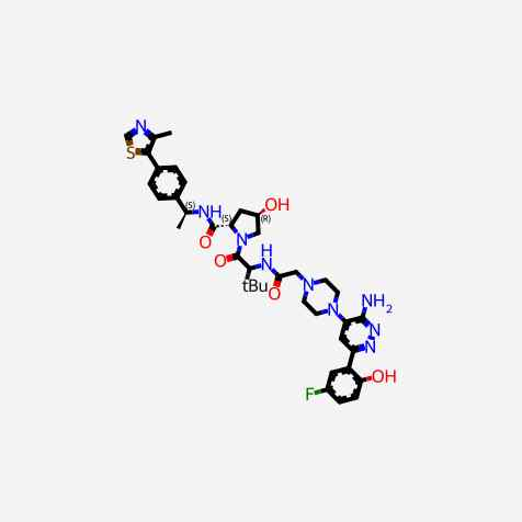 Cc1ncsc1-c1ccc([C@H](C)NC(=O)[C@@H]2C[C@@H](O)CN2C(=O)C(NC(=O)CN2CCN(c3cc(-c4cc(F)ccc4O)nnc3N)CC2)C(C)(C)C)cc1